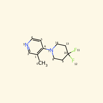 Cc1cnccc1N1CCC(F)(F)CC1